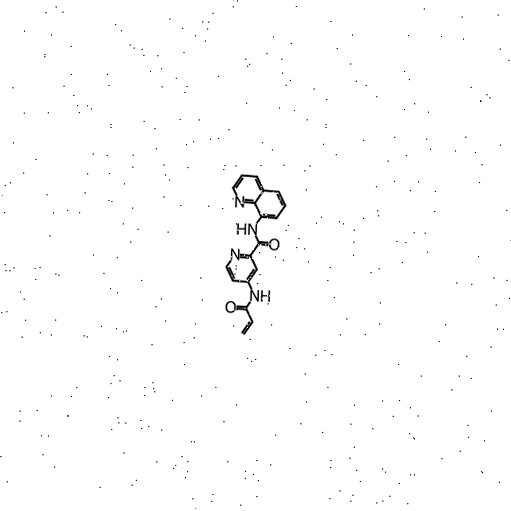 C=CC(=O)Nc1ccnc(C(=O)Nc2cccc3cccnc23)c1